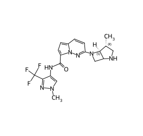 C[C@@H]1CNC2CN(c3ccc4ccc(C(=O)Nc5cn(C)nc5C(F)(F)F)n4n3)[C@H]21